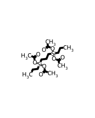 CCC[Si](CCC[Si](CCC)(OC(C)=O)OC(C)=O)(OC(C)=O)OC(C)=O